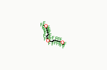 FC(=C(F)C(F)(F)C(F)(F)C(F)(F)OC(F)(F)F)C(F)(F)OC(F)(F)C(F)=C(F)C(F)(F)C(F)(F)C(F)(F)OC(F)(F)F